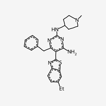 CCc1ccc2nc(-c3c(N)nc(NC4CCN(C)CC4)nc3Cc3ccccc3)sc2c1